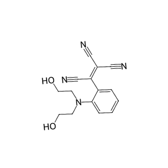 N#CC(C#N)=C(C#N)c1ccccc1N(CCO)CCO